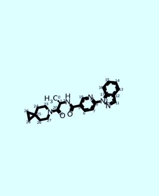 C[C@@H](NC(=O)c1ccc(-n2ncc3ccccc32)nc1)C(=O)N1CCC2(CC1)CC2